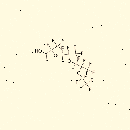 OC(F)C(F)(OC(F)(F)C(F)(OC(F)(F)C(F)(OC(F)(F)C(F)(F)F)C(F)(F)F)C(F)(F)F)C(F)(F)F